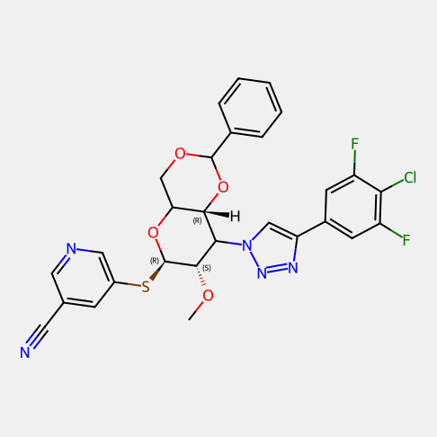 CO[C@H]1C(n2cc(-c3cc(F)c(Cl)c(F)c3)nn2)[C@H]2OC(c3ccccc3)OCC2O[C@@H]1Sc1cncc(C#N)c1